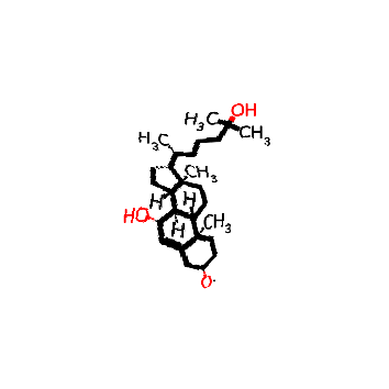 C[C@H](CCCC(C)(C)O)[C@H]1CC[C@H]2[C@@H]3[C@@H](O)C=C4C[C@@H]([O])CC[C@]4(C)[C@H]3CC[C@]12C